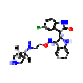 O=C1Nc2ccc(F)cc2/C1=C1/Nc2ccccc2/C1=N\OCCNC1[C@H]2CNC[C@@H]12